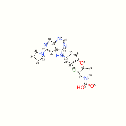 O=C(O)N1CCC(Oc2ccc(Nc3ncnc4cnc(N5CCCC5)cc34)cc2Cl)CC1